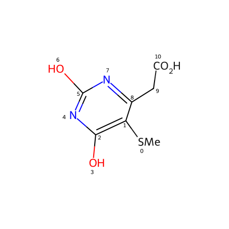 CSc1c(O)nc(O)nc1CC(=O)O